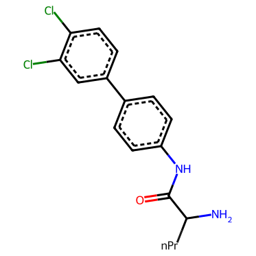 CCCC(N)C(=O)Nc1ccc(-c2ccc(Cl)c(Cl)c2)cc1